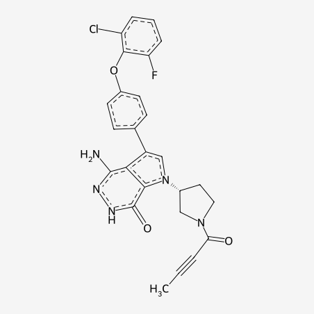 CC#CC(=O)N1CC[C@@H](n2cc(-c3ccc(Oc4c(F)cccc4Cl)cc3)c3c(N)n[nH]c(=O)c32)C1